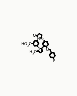 Cc1ccc(-c2cc(Br)ccc2OCc2ccc(F)cc2)n1-c1cc(C(=O)O)cc(N2CCCC2=O)c1